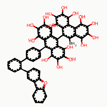 Bc1c(-c2c3c(O)c(O)c(O)c(O)c3c(-c3ccc(-c4ccccc4-c4ccc5oc6ccccc6c5c4)cc3)c3c(O)c(O)c(O)c(O)c23)c2c(O)c(O)c(O)c(O)c2c2c(O)c(O)c(O)c(O)c12